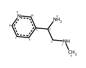 CNCC(N)c1cccnc1